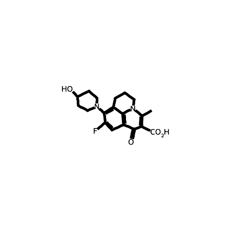 Cc1c(C(=O)O)c(=O)c2cc(F)c(N3CCC(O)CC3)c3c2n1CCC3